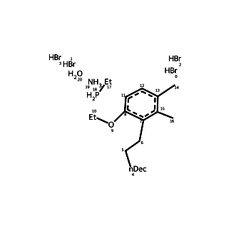 Br.Br.Br.Br.CCCCCCCCCCCCc1c(OCC)ccc(C)c1C.CCP.N.O